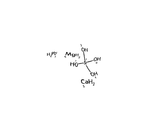 O[Si](O)(O)O.[CaH2].[MgH2].[PbH2]